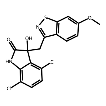 COc1ccc2c(CC3(O)C(=O)Nc4c(Cl)ccc(Cl)c43)nsc2c1